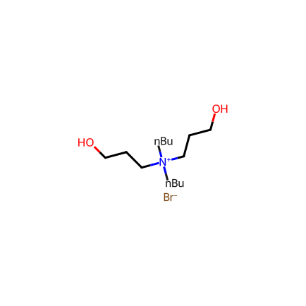 CCCC[N+](CCCC)(CCCO)CCCO.[Br-]